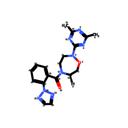 CC[C@@H]1CON(c2nc(C)nc(C)n2)CCN1C(=O)c1ccccc1-n1nccn1